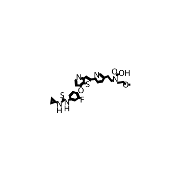 COCCN(CCc1ccc(-c2cc3nccc(Oc4ccc(NC(=S)NC5CC5)cc4F)c3s2)nc1)C(=O)O